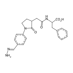 NN=Cc1ccc(N2CCC(CC(=O)NC(Cc3ccccc3)C(=O)O)C2=O)cc1